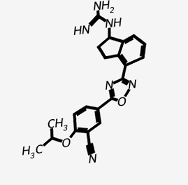 CC(C)Oc1ccc(-c2nc(-c3cccc4c3CCC4NC(=N)N)no2)cc1C#N